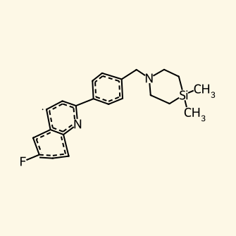 C[Si]1(C)CCN(Cc2ccc(-c3c[c]c4cc(F)ccc4n3)cc2)CC1